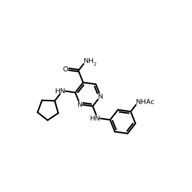 CC(=O)Nc1cccc(Nc2ncc(C(N)=O)c(NC3CCCC3)n2)c1